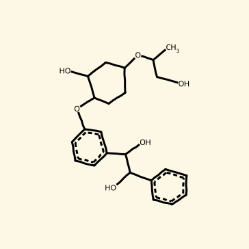 CC(CO)OC1CCC(Oc2cccc(C(O)C(O)c3ccccc3)c2)C(O)C1